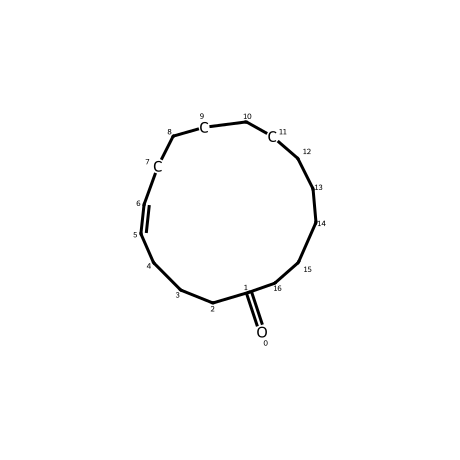 O=C1CCCC=CCCCCCCCCCC1